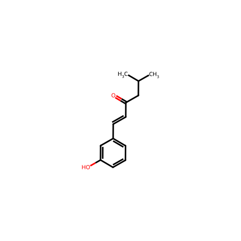 CC(C)CC(=O)/C=C/c1cccc(O)c1